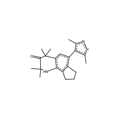 Cc1nnn(C)c1-c1cc2c(c3c1CCC3)NC(C)(C)C(=O)C2(C)C